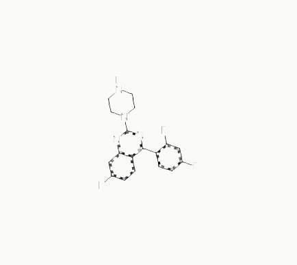 Fc1ccc(-c2nc(N3CCNCC3)nc3cc(F)ccc23)c(F)c1